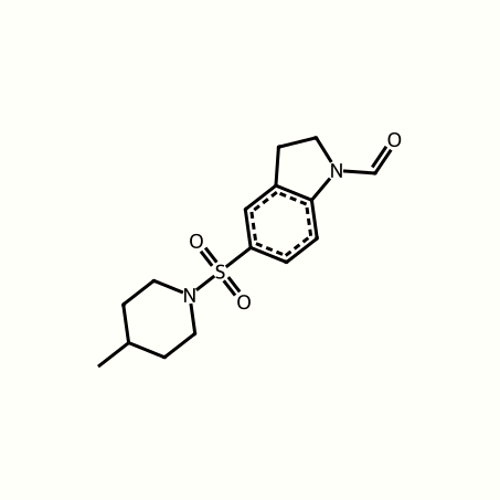 CC1CCN(S(=O)(=O)c2ccc3c(c2)CCN3C=O)CC1